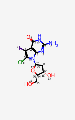 Nc1nc2c(c(I)c(Cl)n2[C@H]2C[C@H](O)[C@@H](CO)O2)c(=O)[nH]1